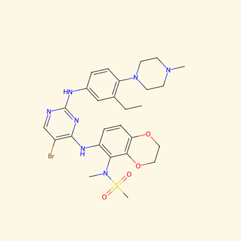 CCc1cc(Nc2ncc(Br)c(Nc3ccc4c(c3N(C)S(C)(=O)=O)OCCO4)n2)ccc1N1CCN(C)CC1